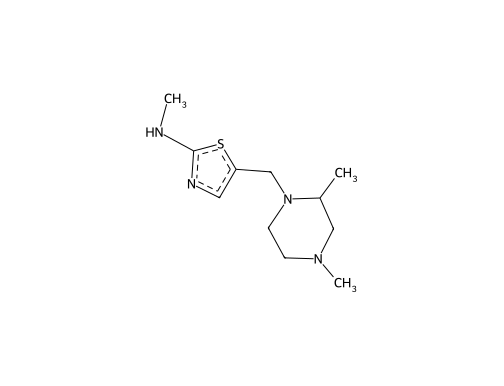 CNc1ncc(CN2CCN(C)CC2C)s1